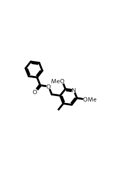 COc1cc(C)c(COC(=O)c2ccccc2)c(OC)n1